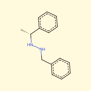 C[C@@H](NNCc1ccccc1)c1ccccc1